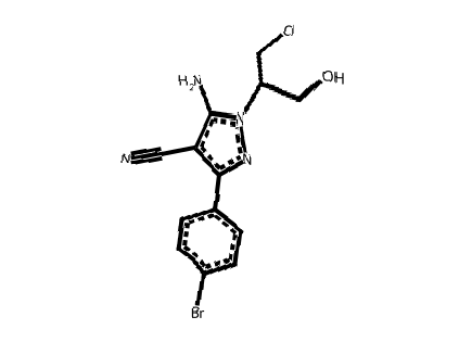 N#Cc1c(-c2ccc(Br)cc2)nn(C(CO)CCl)c1N